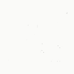 CC(F)(F)[C@]1(C#CC2CC2)NC(C=O)Nc2cc(Br)ccc21